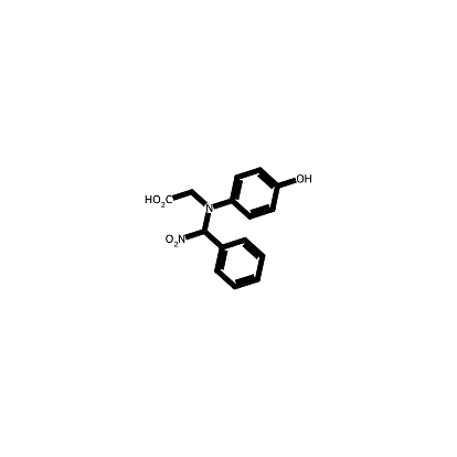 O=C(O)CN(c1ccc(O)cc1)C(c1ccccc1)[N+](=O)[O-]